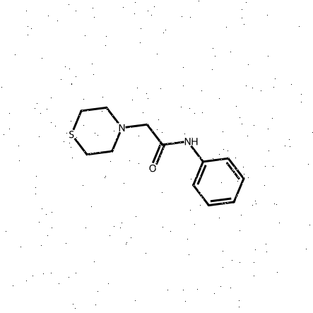 O=C(CN1CCSCC1)Nc1ccccc1